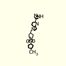 Cc1ccc(S(=O)(=O)N2CCC(Cn3ccc4nc(-c5cn[nH]c5)ccc43)CC2)cc1